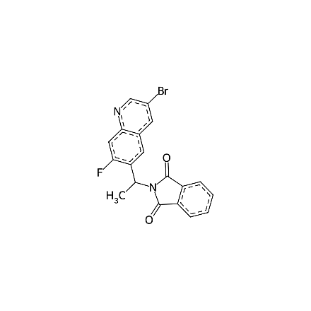 CC(c1cc2cc(Br)cnc2cc1F)N1C(=O)c2ccccc2C1=O